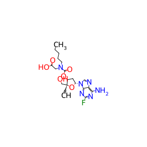 C#C[C@]1(CO)O[C@@H](n2cnc3c(N)nc(F)nc32)C[C@@H]1OC(=O)N(CCCCC)CC(=O)O